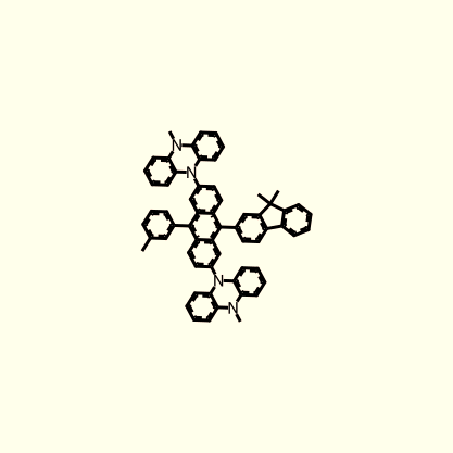 Cc1cccc(-c2c3ccc(N4c5ccccc5N(C)c5ccccc54)cc3c(-c3ccc4c(c3)C(C)(C)c3ccccc3-4)c3ccc(N4c5ccccc5N(C)c5ccccc54)cc23)c1